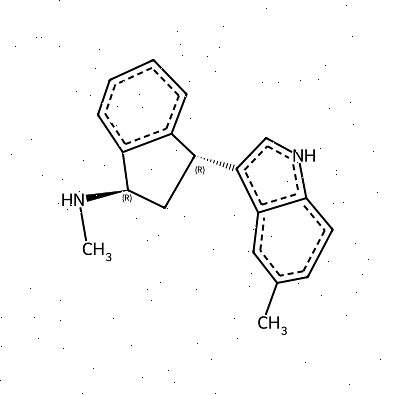 CN[C@@H]1C[C@@H](c2c[nH]c3ccc(C)cc23)c2ccccc21